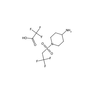 NC1CCN(S(=O)(=O)CC(F)(F)F)CC1.O=C(O)C(F)(F)F